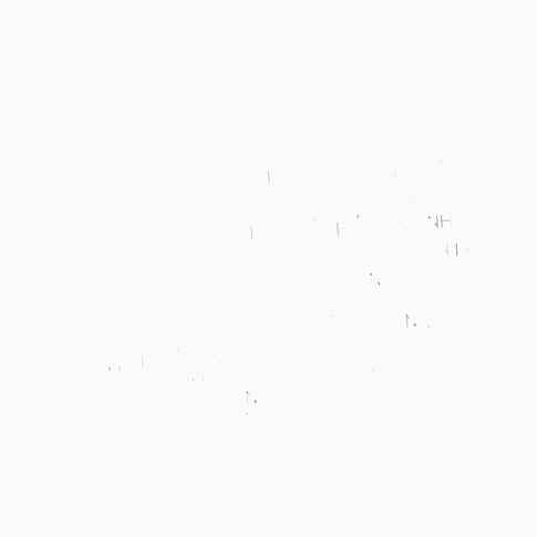 CP(C)(=O)COc1ccc(-c2ccc3nc4n(c3c2)[C@@H]2C[C@H]4NC(=O)c3cccc(OC(F)F)c32)cn1